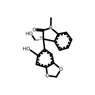 CN1C(=O)[C@](CO)(c2cc3c(cc2O)OCO3)c2ccccc21